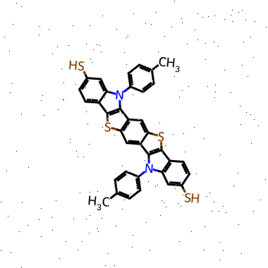 Cc1ccc(-n2c3cc(S)ccc3c3sc4cc5c(cc4c32)sc2c3ccc(S)cc3n(-c3ccc(C)cc3)c52)cc1